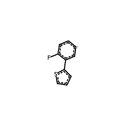 Fc1cc[c]cc1-c1cccs1